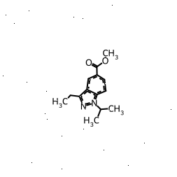 CCc1nn(C(C)C)c2ccc(C(=O)OC)cc12